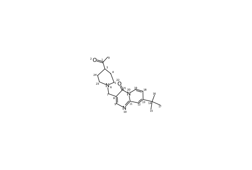 CC(=O)C1CCN(Cc2cnc3cc(C(C)(C)C)ccn3c2=O)CC1